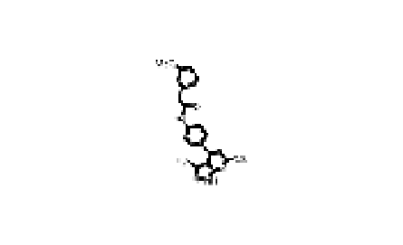 COc1cccc(CC(=O)Nc2ccc(-c3cc(C(C)(C)C)nc4[nH]nc(N)c34)cc2)c1